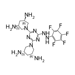 N[C@@H]1C[C@H](N)CN(c2nc(NNc3c(F)c(F)c(F)c(F)c3F)nc(N3C[C@H](N)C[C@H](N)C3)n2)C1